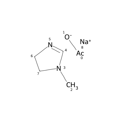 CC(=O)[O-].CN1C=NCC1.[Na+]